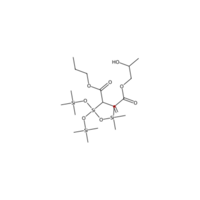 C=C(C(=O)OCC(C)O)C(C(=O)OCCC)[Si](O[Si](C)(C)C)(O[Si](C)(C)C)O[Si](C)(C)C